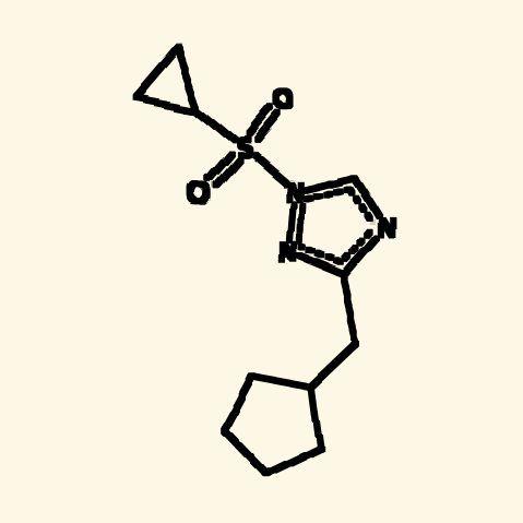 O=S(=O)(C1CC1)n1cnc(CC2CCCC2)n1